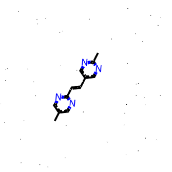 Cc1cnc(C=Cc2cnc(C)nc2)nc1